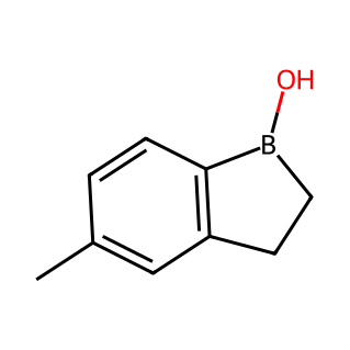 Cc1ccc2c(c1)CCB2O